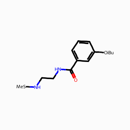 CSNCCNC(=O)c1cccc(OCC(C)C)c1